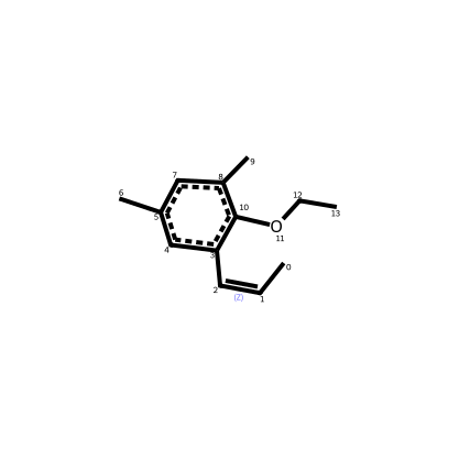 C/C=C\c1cc(C)cc(C)c1OCC